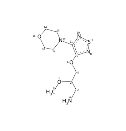 COC(CN)COc1nsnc1N1CCOCC1